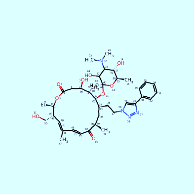 CC[C@H]1OC(=O)C[C@@H](O)[C@H](C)[C@@H](O[C@]2(C)O[C@H](C)[C@@H](O)C(N(C)C)C2O)[C@@H](CCn2cc(-c3ccccc3)nn2)C[C@@H](C)C(=O)/C=C/C(C)=C/[C@@H]1CO